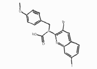 COc1ccc(CN(C(=O)O)c2nc3cc(I)ccc3cc2Br)cc1